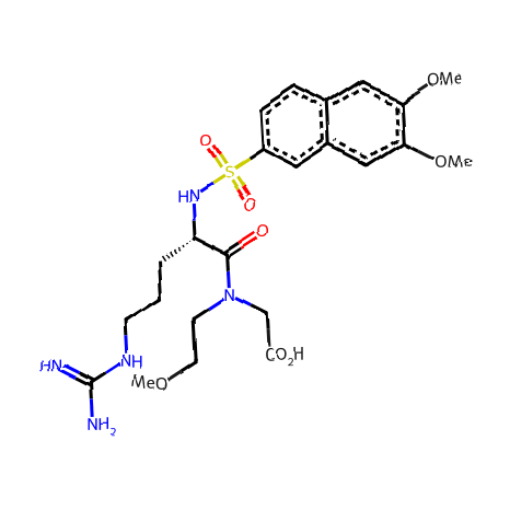 COCCN(CC(=O)O)C(=O)[C@H](CCCNC(=N)N)NS(=O)(=O)c1ccc2cc(OC)c(OC)cc2c1